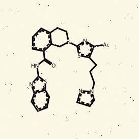 CC(=O)c1nc(N2CCc3cccc(C(=O)Nc4nc5ccccc5s4)c3C2)sc1CCCn1cccn1